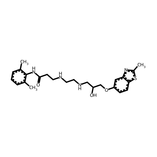 Cc1nc2cc(OCC(O)CNCCNCCC(=O)Nc3c(C)cccc3C)ccc2s1